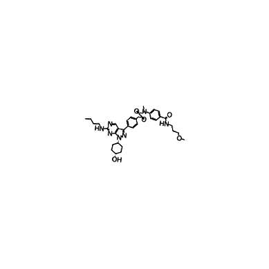 CCCCNc1ncc2c(-c3ccc(S(=O)(=O)N(C)c4ccc(C(=O)NCCCOC)cc4)cc3)nn([C@H]3CC[C@@H](O)CC3)c2n1